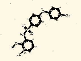 COc1c(NS(=O)(=O)c2ccc(Oc3ccc(Cl)cc3)cc2)ccc[n+]1[O-]